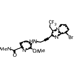 CNC(=O)c1ccc(NCC#Cc2nc3c(Br)cccn3c2CC(F)(F)F)c(OC)n1